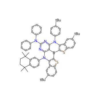 CC(C)(C)c1ccc(N2c3nc(N(c4ccccc4)c4ccccc4)nc4c3B(c3sc5ccc(C(C)(C)C)cc5c32)c2sc3ccc(C(C)(C)C)cc3c2N4c2ccc3c(c2)C(C)(C)CCC3(C)C)cc1